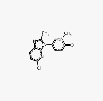 Cc1nc2ccc(Cl)nc2n1-c1ccc(=O)n(C)c1